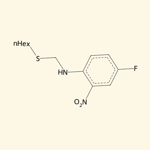 CCCCCCSCNc1ccc(F)cc1[N+](=O)[O-]